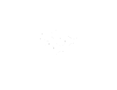 O=C1CO[C@H](c2cccc(Cl)c2)C(c2ccc(Cl)cc2)N1[C@@H](CO)C1CC1